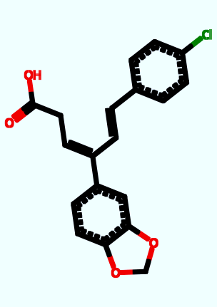 O=C(O)CC=C(C=Cc1ccc(Cl)cc1)c1ccc2c(c1)OCO2